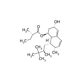 CC[C@H](C)C(=O)O[C@H]1C[C@H](O)C=C2C=C[C@H](C)[C@H](C[C@@H](C)C(C)(C)C)[C@H]21